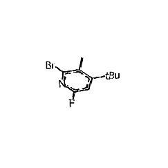 Cc1c(C(C)(C)C)cc(F)nc1Br